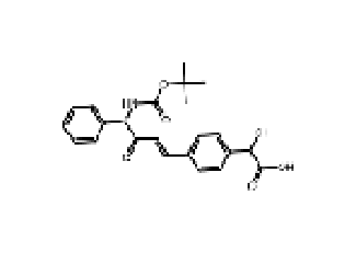 CC(C)(C)OC(=O)NN(C(=O)C=Cc1ccc(C(O)C(=O)O)cc1)c1ccccc1